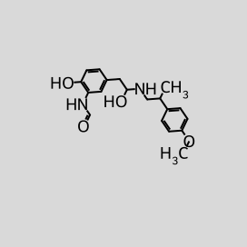 COc1ccc(C(C)CNC(O)Cc2ccc(O)c(NC=O)c2)cc1